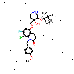 COc1ccc(CN2C(=O)CCc3c(OC[C@]4(O)CCNC[C@H]4O[Si](C)(C)C(C)(C)C)cc(F)c(Cl)c32)cc1